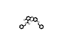 O=C(OCc1ccccc1)c1c2oc3cc(OCc4ccccc4)ccc3nc-2ccc1=O